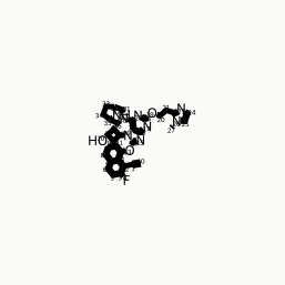 C#Cc1c(F)ccc2cc(O)cc(Oc3nc4nc(OCCc5nccn5C)nc(N5CC6CCC(C5)N6)c4n3C3CCC3)c12